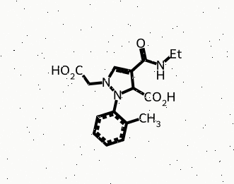 CCNC(=O)C1=CN(CC(=O)O)N(c2ccccc2C)C1C(=O)O